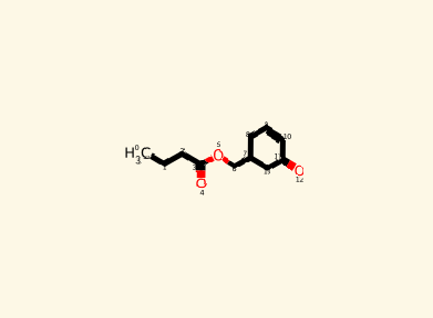 CCCC(=O)OCC1CC=CC(=O)C1